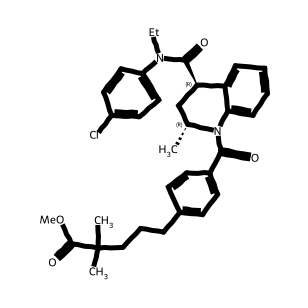 CCN(C(=O)[C@@H]1C[C@@H](C)N(C(=O)c2ccc(CCCC(C)(C)C(=O)OC)cc2)c2ccccc21)c1ccc(Cl)cc1